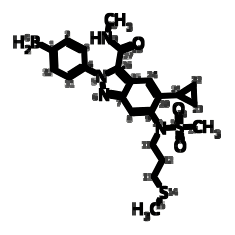 Bc1ccc(-n2nc3cc(N(CCCSC)S(C)(=O)=O)c(C4CC4)cc3c2C(=O)NC)cc1